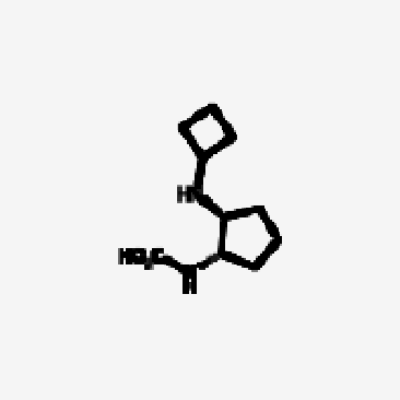 O=C(O)N[C@H]1CCC[C@@H]1NC1CCC1